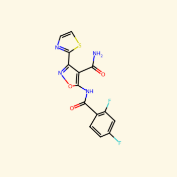 NC(=O)c1c(-c2nccs2)noc1NC(=O)c1ccc(F)cc1F